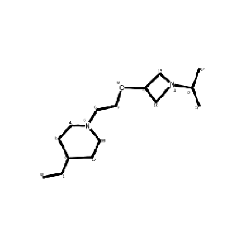 CCC1CCN(CCOC2CN(C(C)C)C2)CC1